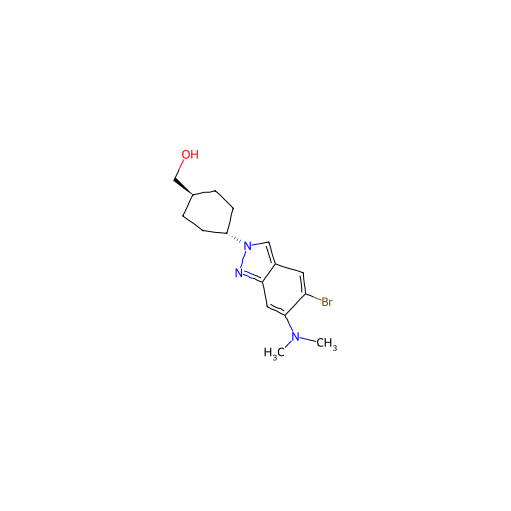 CN(C)c1cc2nn([C@H]3CC[C@H](CO)CC3)cc2cc1Br